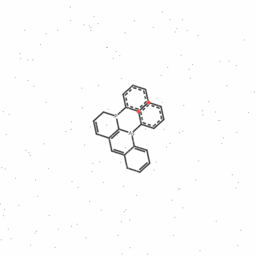 C1=CCC2=CC3=C(P(c4ccccc4)CC=C3)[As](c3ccccc3)C2=C1